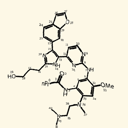 CCCC(=O)Nc1cc(Nc2nccc(-c3[nH]c(CCCO)nc3-c3ccc4ccoc4c3)n2)c(OC)cc1N(C)CCN(C)C